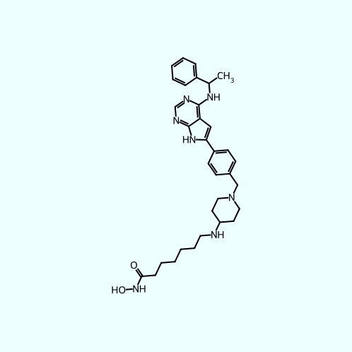 CC(Nc1ncnc2[nH]c(-c3ccc(CN4CCC(NCCCCCCC(=O)NO)CC4)cc3)cc12)c1ccccc1